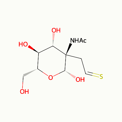 CC(=O)N[C@@]1(CC=S)[C@H](O)O[C@H](CO)[C@@H](O)[C@@H]1O